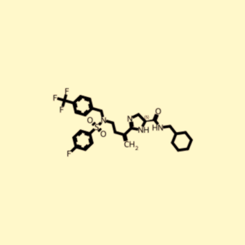 C=C(CCN(Cc1ccc(C(F)(F)F)cc1)S(=O)(=O)c1ccc(F)cc1)C1=NC[C@@H](C(=O)NCC2CCCCC2)N1